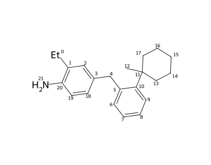 CCc1cc(Cc2ccccc2C2(C)CCCCC2)ccc1N